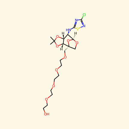 CC1(C)O[C@@H]2[C@@H](Nc3nc(Cl)ns3)[C@H]3OC[C@](COCCOCCOCCOCCO)(O3)[C@@H]2O1